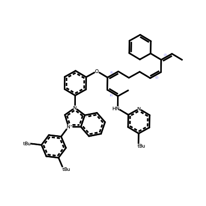 C/C=C(\C=C/CC/C=C(\C=C(/C)Nc1cc(C(C)(C)C)ccn1)Oc1cccc(-n2c[n+](-c3cc(C(C)(C)C)cc(C(C)(C)C)c3)c3ccccc32)c1)C1C=CC=CC1